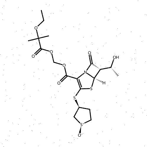 CCOC(C)(C)C(=O)OCOC(=O)C1=C(S[C@H]2CC[S@@+]([O-])C2)S[C@@H]2[C@@H]([C@@H](C)O)C(=O)N12